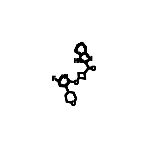 O=C(c1nc2ccccc2[nH]1)C1CC(Oc2ncc(F)cc2C2CCOCC2)C1